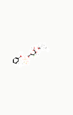 CC1(C)O[C@H]2O[C@@H]([C@@H](COC(=O)c3ccccc3)OS(C)(=O)=O)[C@H](F)[C@H]2O1